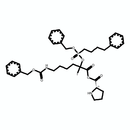 O=C(NCCCCC(I)(OP(=O)(CCCCc1ccccc1)OCc1ccccc1)C(=O)OC(=O)[C@@H]1CCCN1)OCc1ccccc1